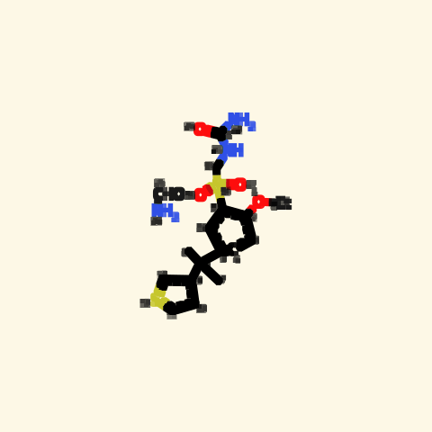 CCOc1ccc(C(C)(C)c2ccsc2)cc1S(=O)(=O)CNC(N)=O.NC=O